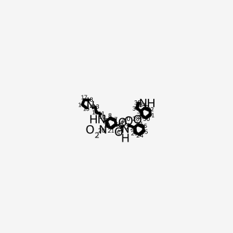 O=C(NS(=O)(=O)c1ccc(NCCCN2CCCC2)c([N+](=O)[O-])c1)c1ccccc1Oc1cccc2[nH]ccc12